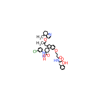 C[C@@H](COc1ccnc2c1[C@H](C)CCC2)C[C@H]1Cc2ccc(OCCCC(=O)N[C@@H](Cc3ccccc3)C(=O)O)cc2C12CCC(Nc1cccc(Cl)c1)(C(=O)O)CC2